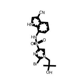 CC(C)(O)Cn1cc(S(=O)(=O)Nc2cccc3c(C#N)c[nH]c23)nc1Br